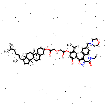 CCNC(=O)c1noc(-c2cc(C(C)C)c(OC(=O)COCC(=O)OC3CCC4(C)C(=CCC5[C@@H]4CCC4(C)C([C@H](C)CCCC(C)C)CC[C@@H]54)C3)cc2O)c1-c1ccc(CN2CCOCC2)cc1